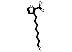 O=C(O)c1occc1CCCCCCCCCl